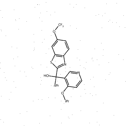 CCCC(O)(c1nc2ccc(OC(F)(F)F)cc2s1)c1cnccc1OC(C)C